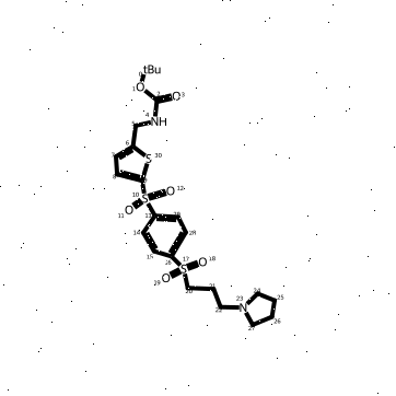 CC(C)(C)OC(=O)NCc1ccc(S(=O)(=O)c2ccc(S(=O)(=O)CCCN3CCCC3)cc2)s1